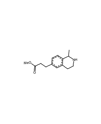 COC(=O)CCc1ccc2c(c1)CCNC2C